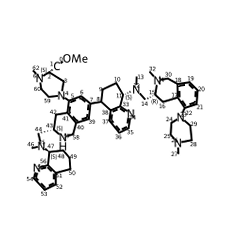 COC[C@@H]1CN(c2cc(C3CC[C@H](N(C)C[C@H]4Cc5c(cccc5N5CCN(C)CC5)CN4C)c4ncccc43)cc3c2C[C@@H](CN(C)[C@H]2CCCc4cccnc42)NC3)CCN1C